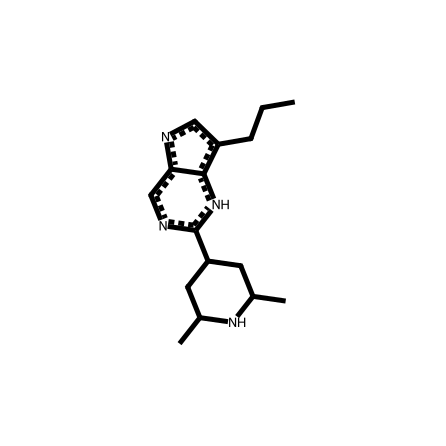 CCCc1cnc2cnc(C3CC(C)NC(C)C3)[nH]c1-2